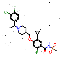 CC(c1ccc(F)c(Cl)c1)N1CCC(COc2cc(F)c(C(=O)NS(C)(=O)=O)cc2C2CC2)CC1